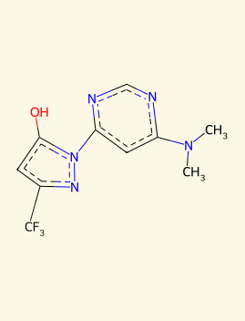 CN(C)c1cc(-n2nc(C(F)(F)F)cc2O)ncn1